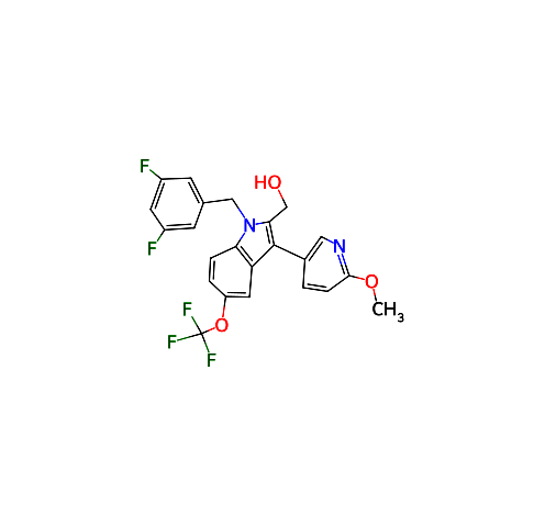 COc1ccc(-c2c(CO)n(Cc3cc(F)cc(F)c3)c3ccc(OC(F)(F)F)cc23)cn1